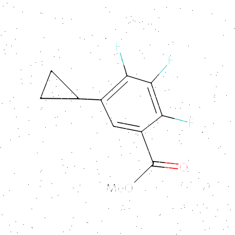 COC(=O)c1cc(C2CC2)c(F)c(F)c1F